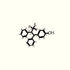 Oc1ccc(C(c2ccccc2)C(c2ccccc2)C(F)(F)F)cc1